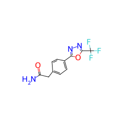 NC(=O)Cc1ccc(-c2nnc(C(F)(F)F)o2)cc1